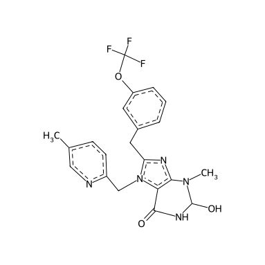 Cc1ccc(Cn2c(Cc3cccc(OC(F)(F)F)c3)nc3c2C(=O)NC(O)N3C)nc1